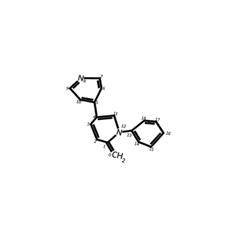 C=C1C=CC(c2ccncc2)=CN1c1ccccc1